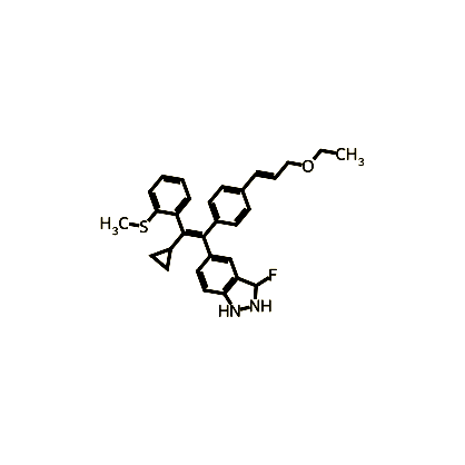 CCOC/C=C/c1ccc(/C(=C(\c2ccccc2SC)C2CC2)c2ccc3c(c2)C(F)NN3)cc1